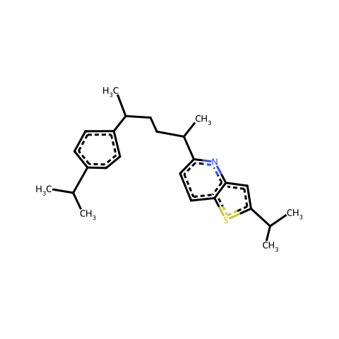 CC(C)c1ccc(C(C)CCC(C)c2ccc3sc(C(C)C)cc3n2)cc1